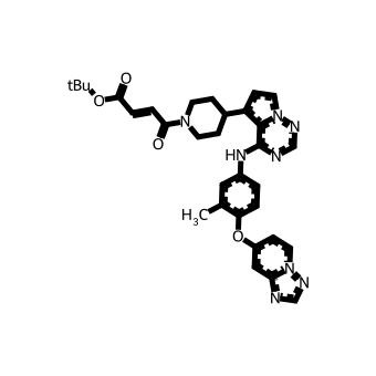 Cc1cc(Nc2ncnn3ccc(C4CCN(C(=O)/C=C/C(=O)OC(C)(C)C)CC4)c23)ccc1Oc1ccn2ncnc2c1